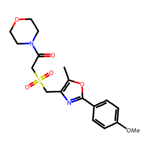 COc1ccc(-c2nc(CS(=O)(=O)CC(=O)N3CCOCC3)c(C)o2)cc1